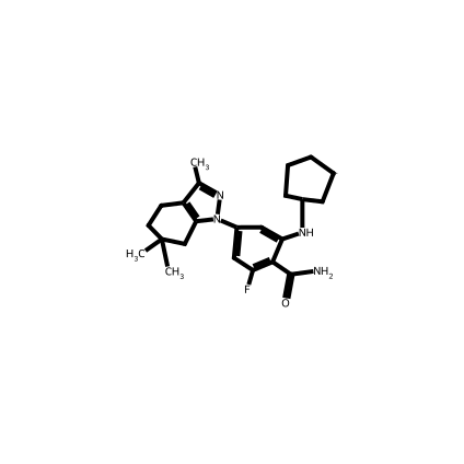 Cc1nn(-c2cc(F)c(C(N)=O)c(NC3C[CH]CCC3)c2)c2c1CCC(C)(C)C2